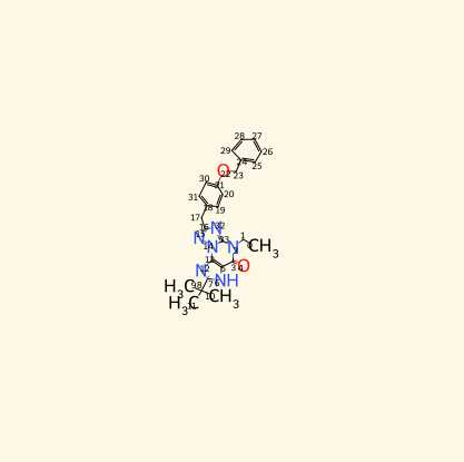 CCn1c(=O)c2[nH]c(C(C)(C)C)nc2n2nc(Cc3ccc(OCc4ccccc4)cc3)nc12